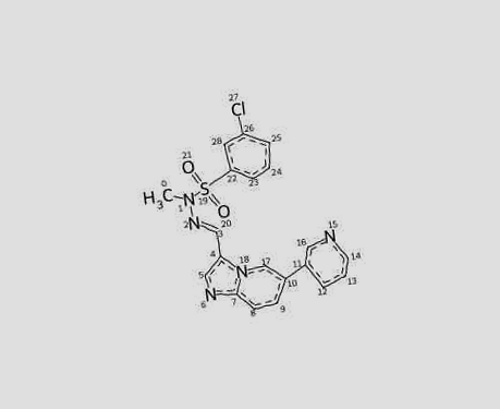 CN(N=Cc1cnc2ccc(-c3cccnc3)cn12)S(=O)(=O)c1cccc(Cl)c1